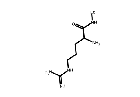 [CH2]CNC(=O)C(N)CCCNC(=N)N